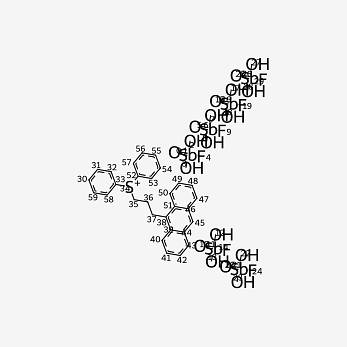 [O]=[Sb]([OH])([OH])[F].[O]=[Sb]([OH])([OH])[F].[O]=[Sb]([OH])([OH])[F].[O]=[Sb]([OH])([OH])[F].[O]=[Sb]([OH])([OH])[F].[O]=[Sb]([OH])([OH])[F].c1ccc([S+](CCCc2c3ccccc3cc3ccccc23)c2ccccc2)cc1